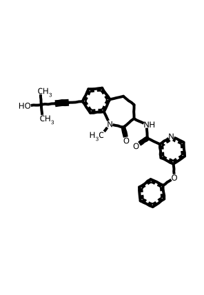 CN1C(=O)C(NC(=O)c2cc(Oc3ccccc3)ccn2)CCc2ccc(C#CC(C)(C)O)cc21